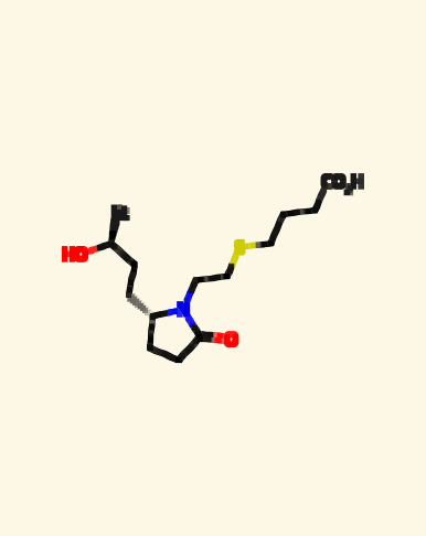 CC[C@H](O)CC[C@H]1CCC(=O)N1CCSCCCC(=O)O